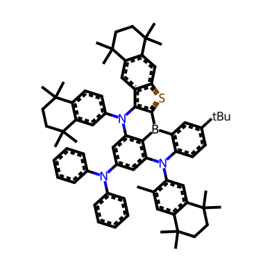 Cc1cc2c(cc1N1c3ccc(C(C)(C)C)cc3B3c4sc5cc6c(cc5c4N(c4ccc5c(c4)C(C)(C)CCC5(C)C)c4cc(N(c5ccccc5)c5ccccc5)cc1c43)C(C)(C)CCC6(C)C)C(C)(C)CCC2(C)C